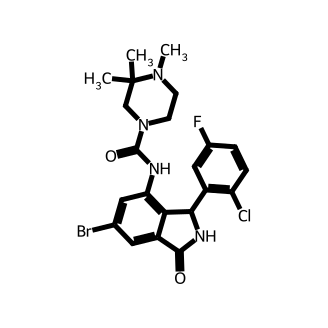 CN1CCN(C(=O)Nc2cc(Br)cc3c2C(c2cc(F)ccc2Cl)NC3=O)CC1(C)C